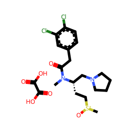 CN(C(=O)Cc1ccc(Cl)c(Cl)c1)[C@@H](CC[S+](C)[O-])CN1CCCC1.O=C(O)C(=O)O